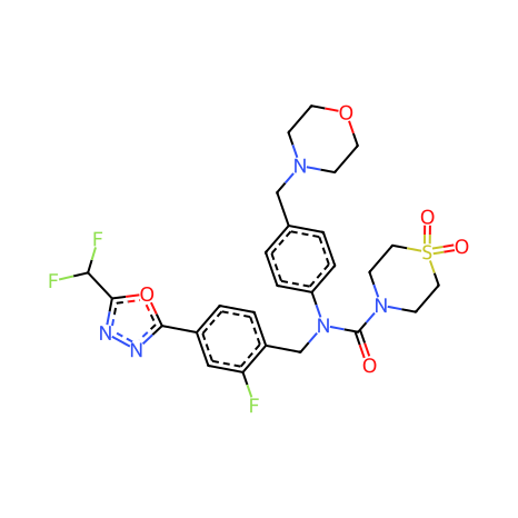 O=C(N1CCS(=O)(=O)CC1)N(Cc1ccc(-c2nnc(C(F)F)o2)cc1F)c1ccc(CN2CCOCC2)cc1